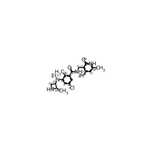 CCN(c1cc(Cl)cc(C(=O)NCc2c(C(C)C)cc(C)[nH]c2=O)c1C)C1CNC1C